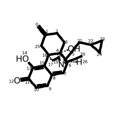 C=C1CC[C@@]2(O)[C@H]3C=C4C=CC(=O)C(O)=C4[C@@]2(CC[N+]3(C)CC2CC2)C1